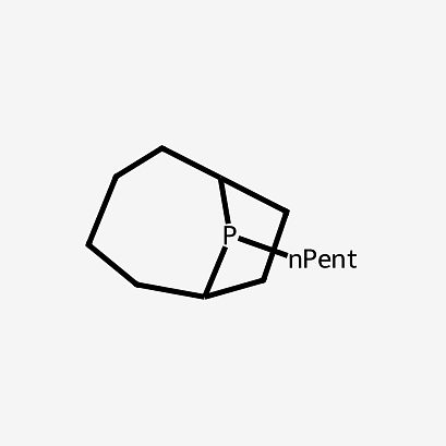 CCCCCP1C2CCCCC1CC2